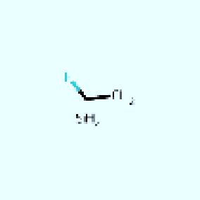 CCF.[SiH4]